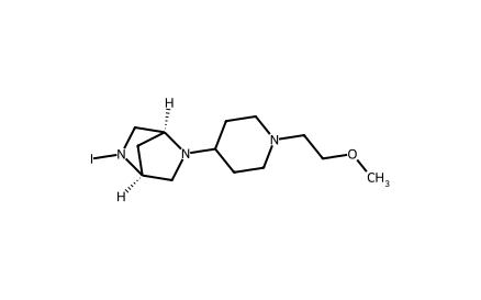 COCCN1CCC(N2C[C@@H]3C[C@H]2CN3I)CC1